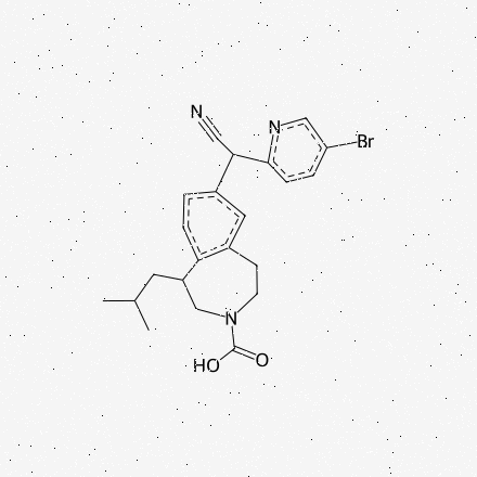 CC(C)CC1CN(C(=O)O)CCc2cc(C(C#N)c3ccc(Br)cn3)ccc21